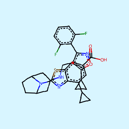 O=C(O)c1cc(C2CC2)c2nc(N3C4CCC3CC(NCc3c(-c5c(F)cccc5F)noc3C3CC3)C4)sc2c1